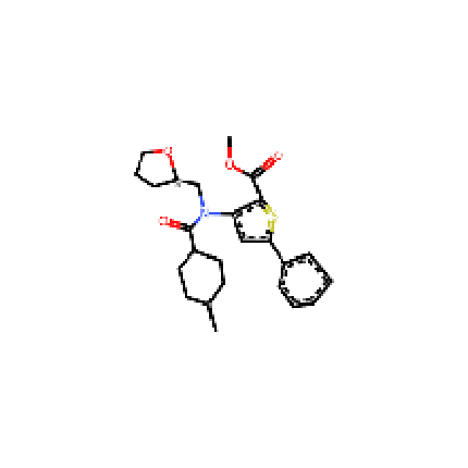 COC(=O)c1sc(-c2ccccc2)cc1N(C[C@H]1CCCO1)C(=O)C1CCC(C)CC1